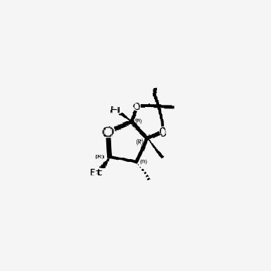 CC[C@H]1O[C@@H]2OC(C)(C)O[C@]2(C)[C@@H]1C